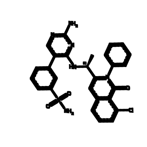 C[C@H](Nc1nc(N)ncc1-c1cccc(S(N)(=O)=O)c1)c1cc2cccc(Cl)c2c(=O)n1-c1ccccc1